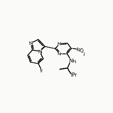 CC(C)C(C)Nc1nc(-c2cnc3ccc(F)cn23)ncc1[N+](=O)[O-]